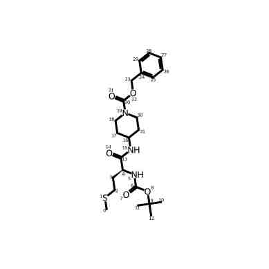 CSCC[C@H](NC(=O)OC(C)(C)C)C(=O)NC1CCN(C(=O)OCc2ccccc2)CC1